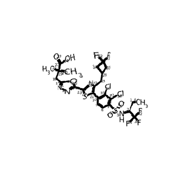 CC[C@H](NS(=O)(=O)c1ccc(-c2sc(-c3nnc(CC(C)(C)C(=O)O)o3)nc2CC2CC(F)(F)C2)c(Cl)c1Cl)C(F)(F)F